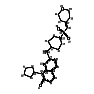 O=c1ccc2cnc(NC3CCN(S(=O)(=O)C=C4CCOCC4)CC3)nc2n1C1CCCC1